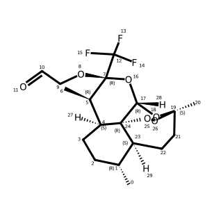 C[C@@H]1CC[C@H]2[C@@H](C)[C@](OCC=O)(C(F)(F)F)O[C@@H]3O[C@]4(C)CC[C@@H]1[C@]32OO4